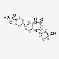 CS(=O)(=O)N1CC=C(c2ccc3c(c2)NC(=O)CC(c2cccc(C#N)c2)=N3)CC1